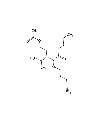 C#CCCCON(C(=O)CCCC)C(CCOC(C)=O)C(C)C